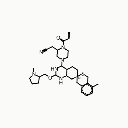 C=CC(=O)N1CCN(C2NC(OCC3CCCN3C)NC3C[C@]4(CCC32)Cc2cccc(C)c2CS4)CC1CC#N